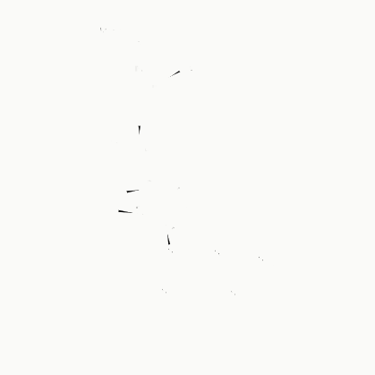 CCOc1nc(N)nc2c1ncn2[C@@H]1O[C@@H]2CO[P@](=O)(OC[C@@H](NC(=O)OC)C(C)(C)C)O[C@H]2[C@@]1(C)F